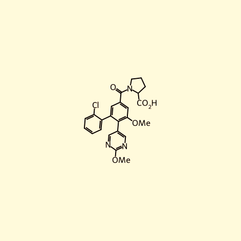 COc1ncc(-c2c(OC)cc(C(=O)N3CCCC3C(=O)O)cc2-c2ccccc2Cl)cn1